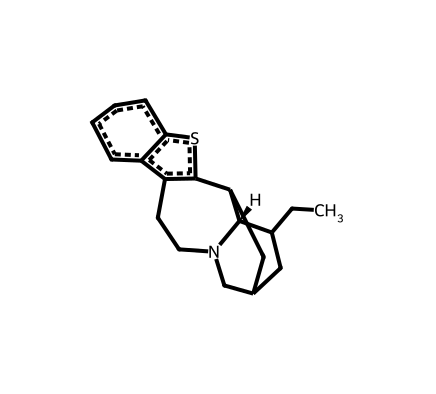 CCC1CC2CC3c4sc5ccccc5c4CCN(C2)[C@@H]13